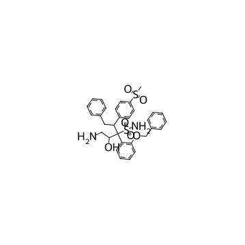 CS(=O)(=O)c1ccc(C(Cc2ccccc2)C(c2ccccc2OCc2ccccc2)(C(O)CN)S(N)(=O)=O)cc1